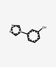 Oc1cccc(-n2cnnc2)c1